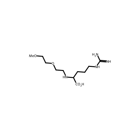 COCCOCCNC(CCCNC(=N)N)C(=O)O